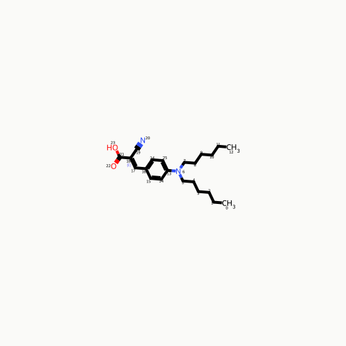 CCCCCCN(CCCCCC)c1ccc(/C=C(\C#N)C(=O)O)cc1